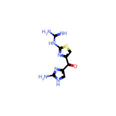 N=C(N)Nc1nc(C(=O)c2c[nH]c(N)n2)cs1